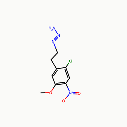 COc1cc(CCN=NN)c(Cl)cc1[N+](=O)[O-]